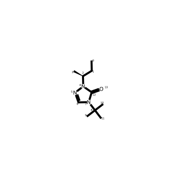 CC[C@H](C)n1ncn(C(C)(C)C)c1=O